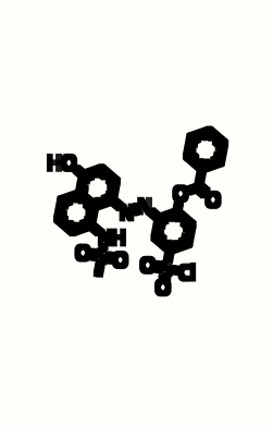 CS(=O)(=O)Nc1cccc2c(O)ccc(/N=N/c3cc(S(=O)(=O)Cl)ccc3OC(=O)c3ccccc3)c12